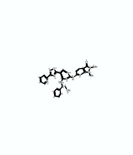 CCCn1c(=O)c2ccc(Nc3ncc(-c4nc(-c5ccccn5)no4)c(N[C@H](CO)c4ccccc4)n3)nc2n1C(C)C